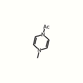 [CH2]C(=O)N1C=CN(C)C=C1